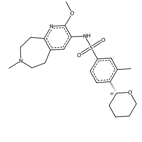 COc1nc2c(cc1NS(=O)(=O)c1ccc([C@H]3CCCCO3)c(C)c1)CCN(C)CC2